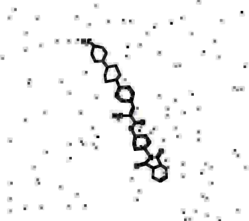 C/C(=C\c1ccc(C2CCC(C3CCC(C)CC3)CC2)cc1)C(=O)Oc1ccc(N2C(=O)C3CC=CCC3C2=O)cc1